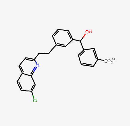 O=C(O)c1cccc(C(O)c2cccc(CCc3ccc4ccc(Cl)cc4n3)c2)c1